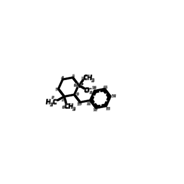 CC1(C)CCC[N+](C)([O-])C1Cc1ccccc1